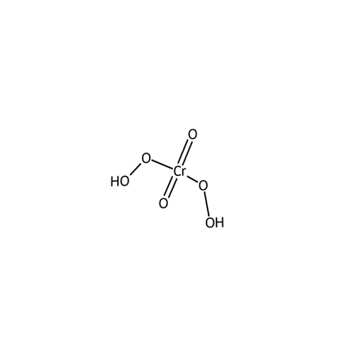 [O]=[Cr](=[O])([O]O)[O]O